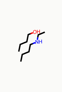 CCCCNCC.CCCCO